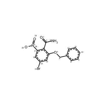 NC(=O)c1c(OCc2ccccc2)cc(Br)cc1[N+](=O)[O-]